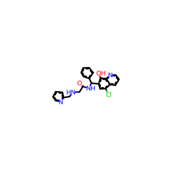 O=C(CNCc1ccccn1)NC(c1ccccc1)c1cc(Cl)c2cccnc2c1O